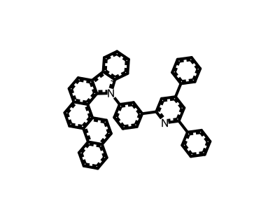 c1ccc(-c2cc(-c3ccccc3)nc(-c3cccc(-n4c5ccccc5c5ccc6ccc7c8ccccc8ccc7c6c54)c3)c2)cc1